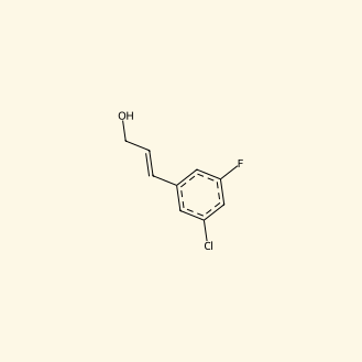 OCC=Cc1cc(F)cc(Cl)c1